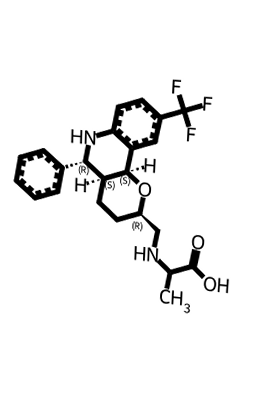 CC(NC[C@H]1CC[C@@H]2[C@H](O1)c1cc(C(F)(F)F)ccc1N[C@H]2c1ccccc1)C(=O)O